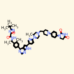 Cc1cc(-c2ncnc3[nH]c(-c4ccc(N5CCN(CC6CCN(c7ccc(N8CCC(=O)NC8=O)cc7)CC6)C[C@@H]5C)nc4)cc23)ccc1C(C)NC(=O)c1nc(C(C)(C)C)no1